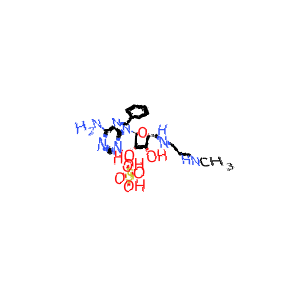 CNCCCNC[C@H]1O[C@@H](n2c(-c3ccccc3)nc3c(N)ncnc32)C(O)C1O.O=S(=O)(O)O